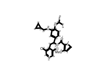 COc1ccsc1C(=O)OC(Cc1c(Cl)cncc1Cl)c1ccc(OC(F)F)c(OCC2CC2)c1